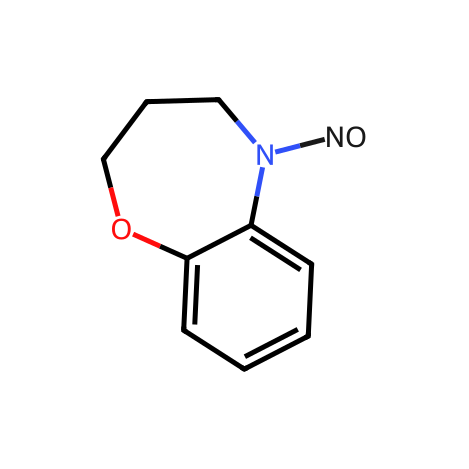 O=NN1CCCOc2ccccc21